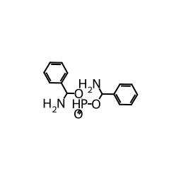 NC(O[PH](=O)OC(N)c1ccccc1)c1ccccc1